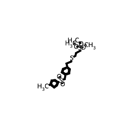 CO[Si](CCCSCCc1ccc(CS(=O)(=O)c2ccc(C)cc2)cc1)(OC)OC